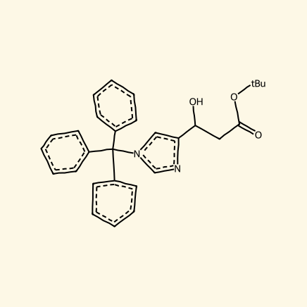 CC(C)(C)OC(=O)CC(O)c1cn(C(c2ccccc2)(c2ccccc2)c2ccccc2)cn1